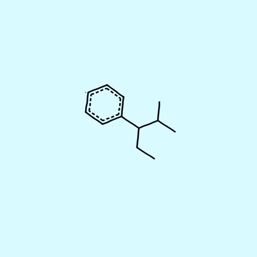 CCC(c1cc[c]cc1)C(C)C